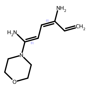 C=C/C(N)=C\C=C(/N)N1CCOCC1